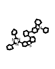 c1ccc(-c2nc(-c3ccccc3)nc(-c3ccc4sc5cccc(-c6ccccc6-c6ccc7c(c6)c6ccccc6n7-c6ccccc6)c5c4c3)n2)cc1